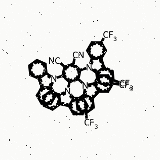 N#Cc1c(C#N)c(-n2c3ccc(C(F)(F)F)cc3c3cc(C(F)(F)F)ccc32)c(-n2c3ccc(C(F)(F)F)cc3c3cc(C(F)(F)F)ccc32)c(-n2c3ccccc3c3ccccc32)c1-n1c2ccccc2c2ccccc21